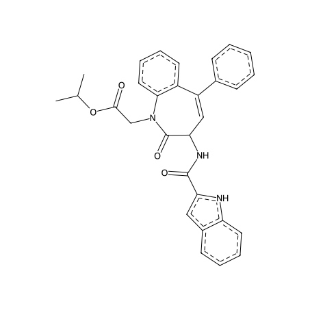 CC(C)OC(=O)CN1C(=O)C(NC(=O)c2cc3ccccc3[nH]2)C=C(c2ccccc2)c2ccccc21